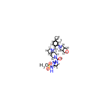 CS(=O)(=O)Nc1ccn(C(=O)N2CCC3(CCCN3Cc3ccc(C(F)(F)F)cc3N3CC4COCC4C3)CC2)n1